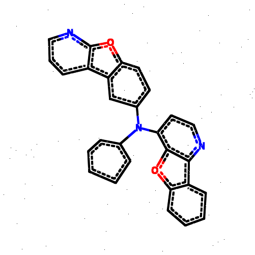 c1ccc(N(c2ccc3oc4ncccc4c3c2)c2ccnc3c2oc2ccccc23)cc1